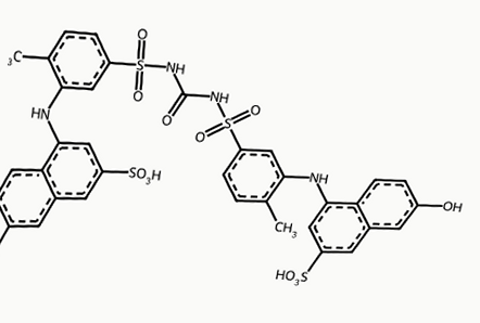 Cc1ccc(S(=O)(=O)NC(=O)NS(=O)(=O)c2ccc(C)c(Nc3cc(S(=O)(=O)O)cc4cc(O)ccc34)c2)cc1Nc1cc(S(=O)(=O)O)cc2cc(O)ccc12